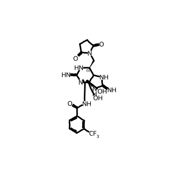 N=C1NC2[C@H](CN3C(=O)CCC3=O)NC(=N)N3CC(NC(=O)c4cccc(C(F)(F)F)c4)C(O)(O)C23N1